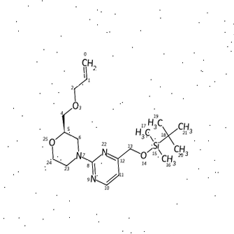 C=CCOC[C@H]1CN(c2nccc(CO[Si](C)(C)C(C)(C)C)n2)CCO1